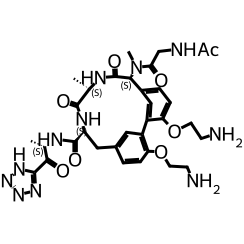 CC(=O)NCC(=O)N(C)[C@@H]1C(=O)N[C@@H](C)C(=O)N[C@H](C(=O)N[C@@H](C)C(=O)c2nnn[nH]2)Cc2ccc(OCCN)c(c2)-c2cc1ccc2OCCN